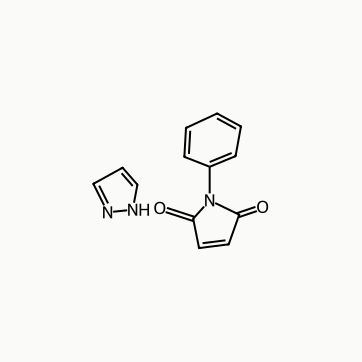 O=C1C=CC(=O)N1c1ccccc1.c1cn[nH]c1